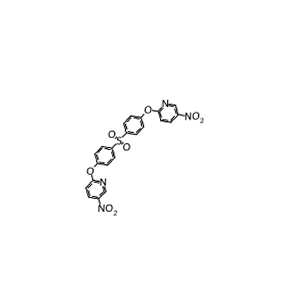 O=[N+]([O-])c1ccc(Oc2ccc(S(=O)(=O)c3ccc(Oc4ccc([N+](=O)[O-])cn4)cc3)cc2)nc1